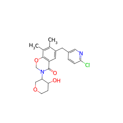 Cc1c(Cc2ccc(Cl)nc2)cc2c(c1C)OCN(C1COCCC1O)C2=O